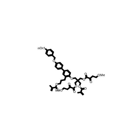 C=C(C)C(=O)OCCCc1cc(-c2ccc(OCc3ccc(CCCCCCCC)cc3)cc2)ccc1OCC(COC(=O)C(=C)C)(COC(=O)C(=O)CCOC)COC(=O)C(=O)CCOC